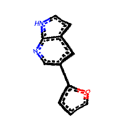 c1coc(-c2cnc3[nH]ccc3c2)c1